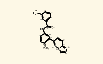 Cc1ccc(NC(=O)c2cccc(C(F)(F)F)c2)cc1-c1ccc2nccn2n1